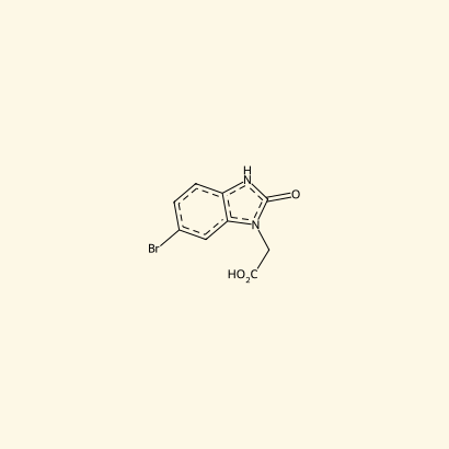 O=C(O)Cn1c(=O)[nH]c2ccc(Br)cc21